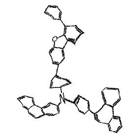 c1ccc(-c2cccc3c2oc2ccc(-c4ccc(N(c5ccc(-c6cc7ccccc7c7ccccc67)cc5)c5ccc6ccc7ccccc7c6c5)cc4)cc23)cc1